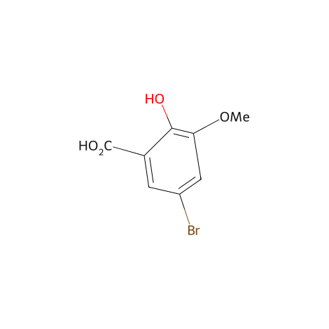 COc1cc(Br)cc(C(=O)O)c1O